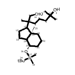 CC(C)(O)CCCC(C)(CC=O)C1CCC2[C@@H](O[Si](C)(C)C(C)(C)C)CCC[C@@]21C